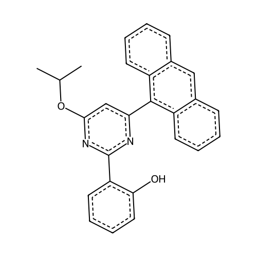 CC(C)Oc1cc(-c2c3ccccc3cc3ccccc23)nc(-c2ccccc2O)n1